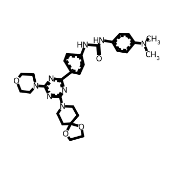 CN(C)c1ccc(NC(=O)Nc2ccc(-c3nc(N4CCOCC4)nc(N4CCC5(CC4)OCCO5)n3)cc2)cc1